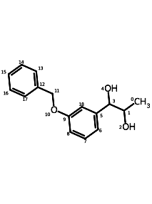 CC(O)C(O)c1cccc(OCc2ccccc2)c1